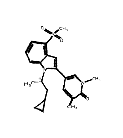 Cc1cc(-c2cc3c(S(C)(=O)=O)cccc3n2[C@@H](C)CC2CC2)cn(C)c1=O